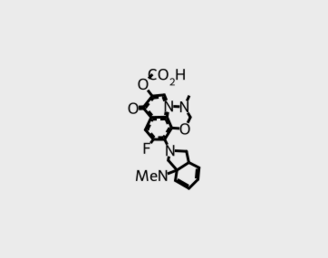 CNC12C=CC=CC1CN(c1c(F)cc3c(=O)c(OC(=O)O)cn4c3c1OCN4C)C2